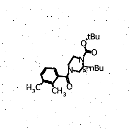 CCCC[C@H]1CN(C(=O)c2cccc(C)c2C)CCN1C(=O)OC(C)(C)C